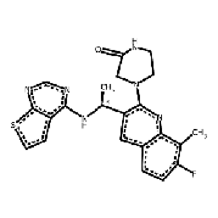 Cc1c(F)ccc2cc([C@H](C)Nc3ncnc4sccc34)c(N3CCNC(=O)C3)nc12